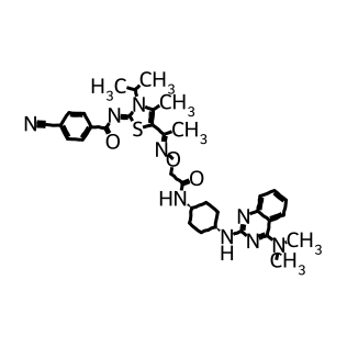 C/C(=N\OCC(=O)N[C@H]1CC[C@@H](Nc2nc(N(C)C)c3ccccc3n2)CC1)c1s/c(=N\C(=O)c2ccc(C#N)cc2)n(C(C)C)c1C